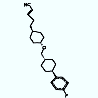 N#C/C=C/CC[C@H]1CC[C@H](OC[C@H]2CC[C@H](c3ccc(F)cc3)CC2)CC1